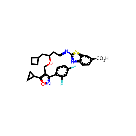 O=C(O)c1ccc2nc(/N=C/CC(CC3CCC3)OCc3c(-c4ccc(F)cc4F)noc3C3CC3)sc2c1